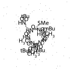 CCCCNC(=O)[C@H]1[C@@H]2[C@@H](CO[Si](C)(C)C(C)(C)C)N2C(=O)[C@H](C)NC(=O)[C@H](CCCCNC(=O)OC(C)(C)C)NC(=O)[C@H](CCSC)NC(=O)[C@H]([C@@H](C)OCCCC)NC(=O)[C@@H]2CCCN21